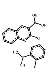 OB(O)c1cc2ccccc2nc1Cl.OB(O)c1ccccc1F